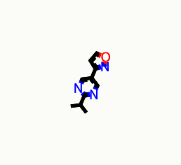 CC(C)c1ncc(-c2ccon2)cn1